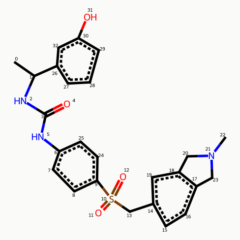 CC(NC(=O)Nc1ccc(S(=O)(=O)Cc2ccc3c(c2)CN(C)C3)cc1)c1cccc(O)c1